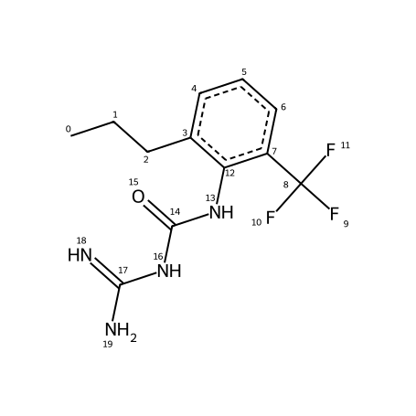 CCCc1cccc(C(F)(F)F)c1NC(=O)NC(=N)N